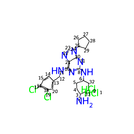 Cl.Cl.NC1CCC(Nc2nc(NCc3ccc(Cl)c(Cl)c3)c3ncn(C4CCCC4)c3n2)CC1